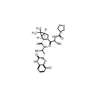 CC(C)(C)C(NC(=O)[C@H]1CCOC1)C(=O)N1C[C@H]2[C@@H]([C@H]1C(=O)NC(C#N)C[C@@H]1Oc3c(Cl)cccc3NC1=O)C2(C)C